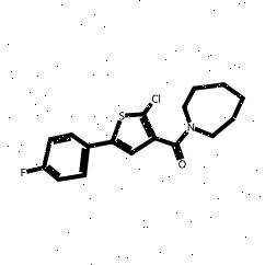 O=C(c1cc(-c2ccc(F)cc2)sc1Cl)N1CCCCCC1